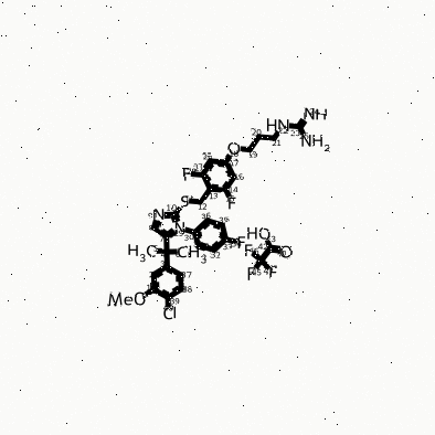 COc1cc(C(C)(C)c2cnc(SCc3c(F)cc(OCCCNC(=N)N)cc3F)n2-c2ccc(F)cc2)ccc1Cl.O=C(O)C(F)(F)F